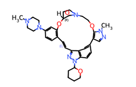 CN1CCN(c2ccc3c(c2)O[C@@H]2CCN(CCOc4c(cnn4C)-c4ccc5c(c4)c(nn5C4CCCCO4)/C=C/3)C2=O)CC1